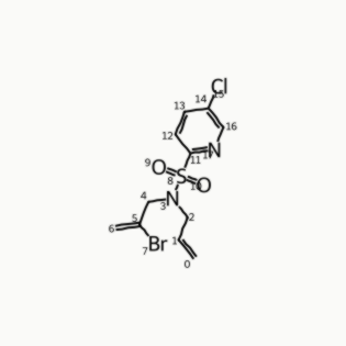 C=CCN(CC(=C)Br)S(=O)(=O)c1ccc(Cl)cn1